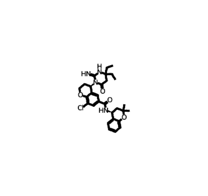 CCC1(CC)CC(=O)N([C@@H]2CCOc3c(Cl)cc(C(=O)N[C@H]4CC(C)(C)Oc5ccccc54)cc32)C(=N)N1